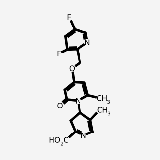 CC1=CN=C(C(=O)O)CC1n1c(C)cc(OCc2ncc(F)cc2F)cc1=O